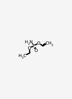 C=COP(N)(=O)OCC